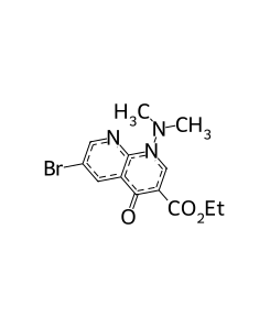 CCOC(=O)c1cn(N(C)C)c2ncc(Br)cc2c1=O